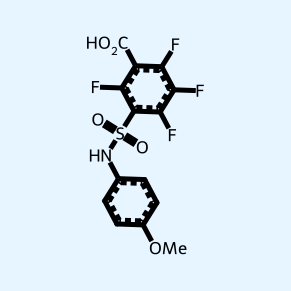 COc1ccc(NS(=O)(=O)c2c(F)c(F)c(F)c(C(=O)O)c2F)cc1